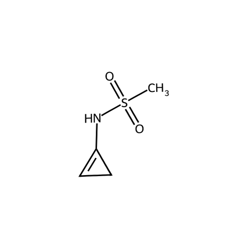 CS(=O)(=O)NC1=CC1